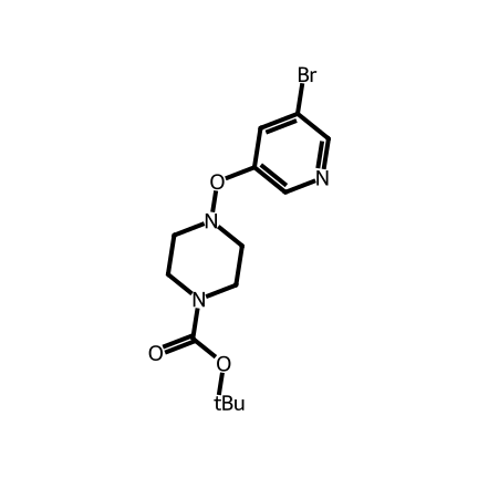 CC(C)(C)OC(=O)N1CCN(Oc2cncc(Br)c2)CC1